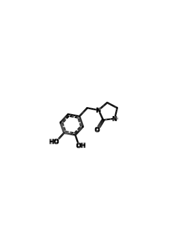 O=C1[N]CCN1Cc1ccc(O)c(O)c1